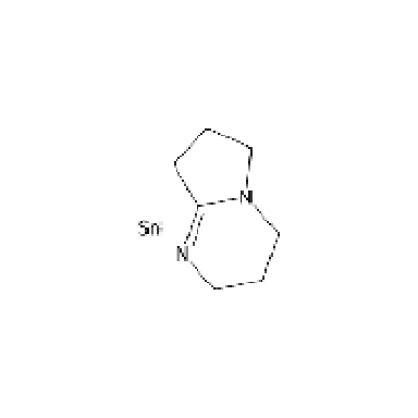 C1CN=C2CCCN2C1.[Sn]